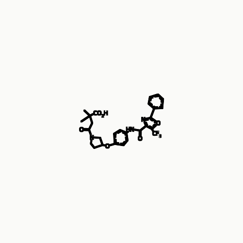 CC(C)(CC(=O)N1CCC(Oc2ccc(NC(=O)c3nc(-c4ccccc4)oc3C(F)(F)F)cc2)C1)C(=O)O